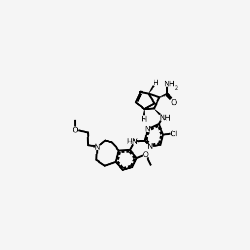 COCCN1CCc2ccc(OC)c(Nc3ncc(Cl)c(N[C@@H]4[C@H](C(N)=O)[C@H]5C=C[C@@H]4C5)n3)c2CC1